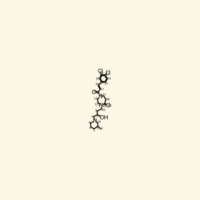 CC1CCCN(CC(O)CCN2CCN(C(=O)/C=C/c3ccc(Cl)c(Cl)c3)CCC2=O)C1